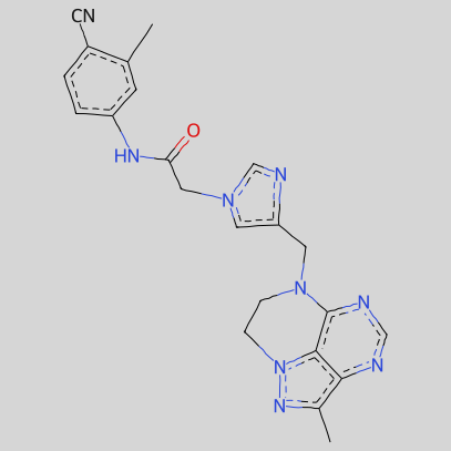 Cc1cc(NC(=O)Cn2cnc(CN3CCn4nc(C)c5ncnc3c54)c2)ccc1C#N